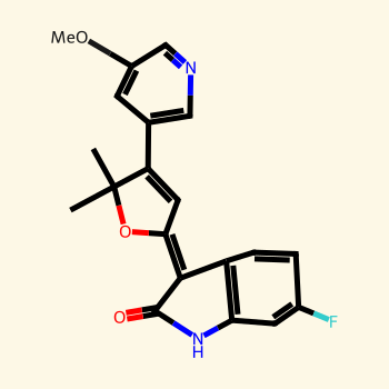 COc1cncc(C2=CC(=C3C(=O)Nc4cc(F)ccc43)OC2(C)C)c1